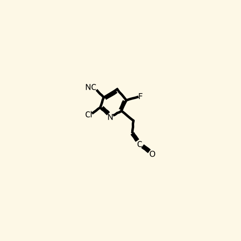 N#Cc1cc(F)c(CC=C=O)nc1Cl